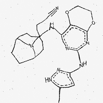 Cc1cc(Nc2nc(NC3CC4CCC(C3)N4CCC#N)c3c(n2)OCCO3)n[nH]1